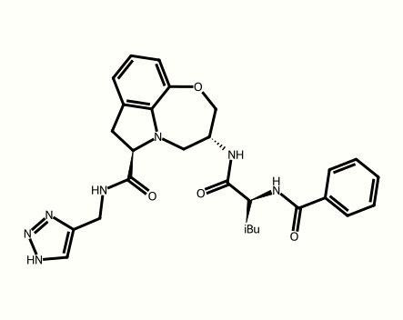 CC[C@H](C)[C@H](NC(=O)c1ccccc1)C(=O)N[C@H]1COc2cccc3c2N(C1)[C@@H](C(=O)NCc1c[nH]nn1)C3